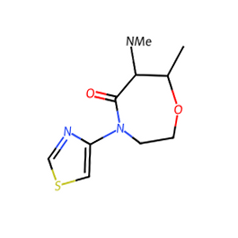 CNC1C(=O)N(c2cscn2)CCOC1C